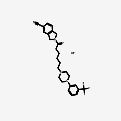 Cl.N#Cc1ccc2c(c1)CN(C(=O)CCCCCN1CCN(c3cccc(C(F)(F)F)c3)CC1)C2